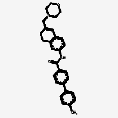 Cc1ccc(-c2ccc(C(=O)Nc3ccc4c(c3)CCC(CN3CCOCC3)=C4)cc2)cc1